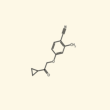 Cc1cc(OCC(=O)C2CC2)ccc1C#N